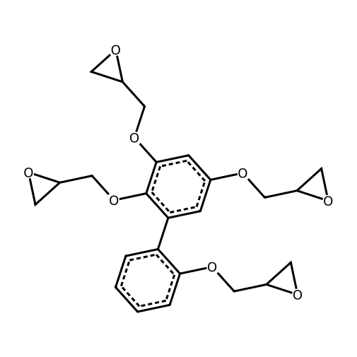 c1ccc(-c2cc(OCC3CO3)cc(OCC3CO3)c2OCC2CO2)c(OCC2CO2)c1